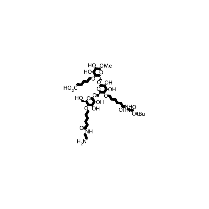 CO[C@H]1O[C@H](CO[C@H]2O[C@H](CO[C@H]3O[C@H](CO)[C@@H](OCCCCCC(=O)NCCN)[C@H](O)[C@H]3O)[C@@H](OCCCCCC(=O)NNC(=O)OC(C)(C)C)[C@H](O)[C@H]2O)[C@@H](OCCCCCC(=O)O)[C@H](O)[C@H]1O